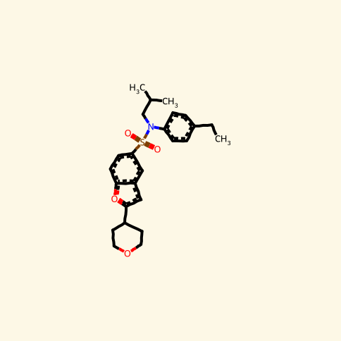 CCc1ccc(N(CC(C)C)S(=O)(=O)c2ccc3oc(C4CCOCC4)cc3c2)cc1